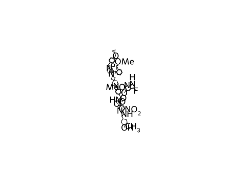 COc1cc(CN2CCN(C3CC4(CCN(c5ccc(C(=O)NS(=O)(=O)c6cnc(NCC7CCC(C)(O)CC7)c([N+](=O)[O-])c6)c(Oc6cc7c(F)c[nH]c7nc6OC)c5)CC4)C3)[C@H](c3ccccc3C(C)C)C2)ccc1OC1CC1